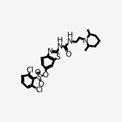 CC1CCCC(C)N1CCNC(=O)Nc1nc2ccc(OS(=O)(=O)c3c(Cl)cccc3Cl)cc2s1